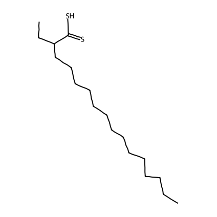 CCCCCCCCCCCCCCC(CC)C(=S)S